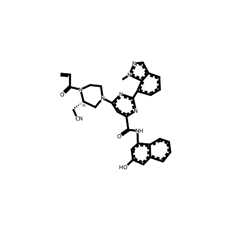 C=CC(=O)N1CCN(c2cc(C(=O)Nc3cc(O)cc4ccccc34)nc(-c3cccc4cnn(C)c34)n2)C[C@@H]1CC#N